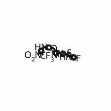 O=[N+]([O-])c1ccc(NC2CCC(Oc3cncc(N4CCN(C(=S)Nc5ccc(F)cc5)CC4)c3)CC2)cc1C(F)(F)F